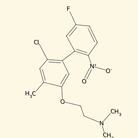 Cc1cc(Cl)c(-c2cc(F)ccc2[N+](=O)[O-])cc1OCCN(C)C